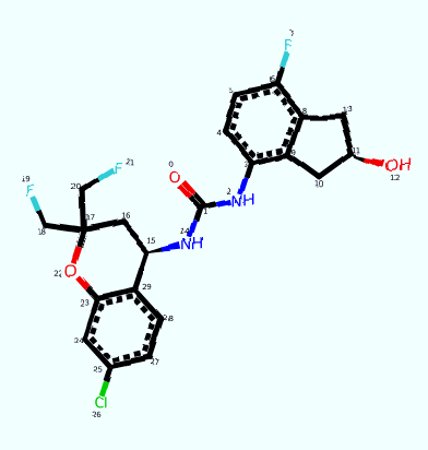 O=C(Nc1ccc(F)c2c1C[C@H](O)C2)N[C@@H]1CC(CF)(CF)Oc2cc(Cl)ccc21